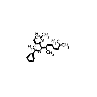 C=C/N=C(\C=C/C)C(/N=C(\C)c1ccccc1)=C(C)\C=C/C=C\C(C)C